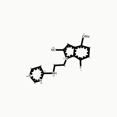 COc1ccc(F)c2c1cc(C#N)n2CCNc1ccncn1